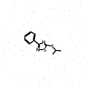 CC(C)Sc1nc(-c2ccccc2)ns1